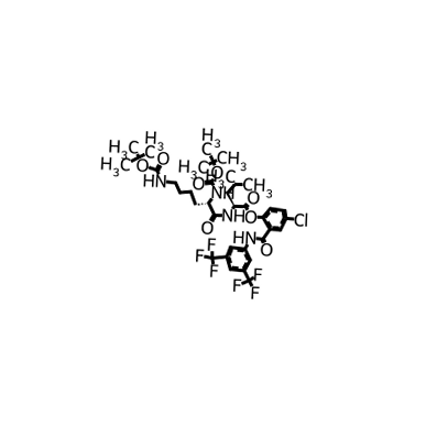 CC(C)C[C@H](NC(=O)[C@H](CCCCNC(=O)OC(C)(C)C)NC(=O)OC(C)(C)C)C(=O)Oc1ccc(Cl)cc1C(=O)Nc1cc(C(F)(F)F)cc(C(F)(F)F)c1